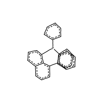 c1ccc(P(c2ccccc2)c2cccc3cccc(-c4cccnc4)c23)cc1